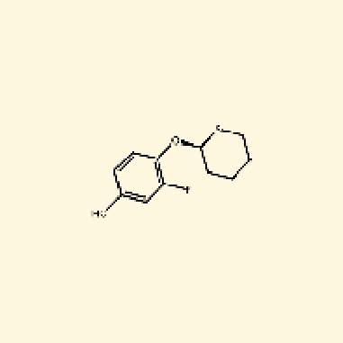 Oc1ccc(O[C@@H]2CCCCS2)c(F)c1